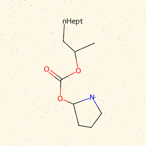 CCCCCCCCC(C)OC(=O)OC1CCC[N]1